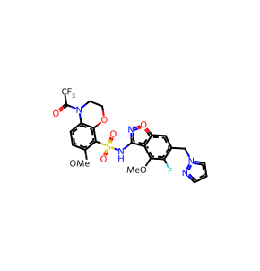 COc1ccc2c(c1S(=O)(=O)Nc1noc3cc(Cn4cccn4)c(F)c(OC)c13)OCCN2C(=O)C(F)(F)F